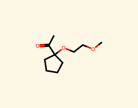 COCCOC1(C(C)=O)CCCC1